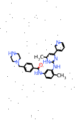 Cc1ccc(NC(=O)c2ccc(CN3CCNCC3)cc2)cc1NC1=NC(c2cccnc2)=CC(C)N1